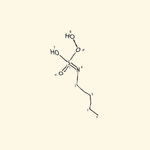 CCCCN=S(=O)(O)OO